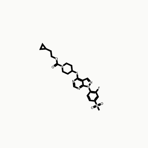 CS(=O)(=O)c1ccc(-n2ncc3c(SC4CCN(C(=O)OCCC5CC5)CC4)ncnc32)c(F)c1